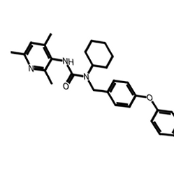 Cc1cc(C)c(NC(=O)N(Cc2ccc(Oc3ccc(F)cc3)cc2)C2CCCCC2)c(C)n1